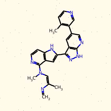 C=N/C(C)=C\N(C)c1nccc2[nH]c(-c3n[nH]c4ncc(-c5cnccc5C)cc34)cc12